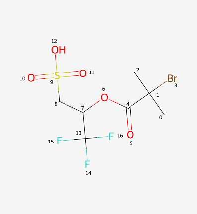 CC(C)(Br)C(=O)OC(CS(=O)(=O)O)C(F)(F)F